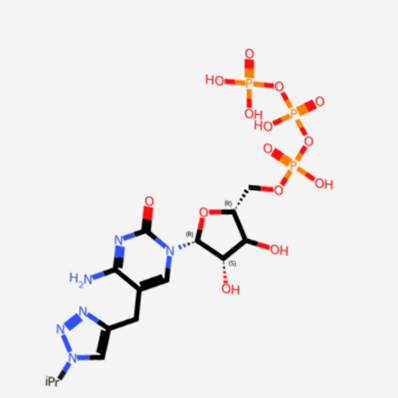 CC(C)n1cc(Cc2cn([C@@H]3O[C@H](COP(=O)(O)OP(=O)(O)OP(=O)(O)O)C(O)[C@@H]3O)c(=O)nc2N)nn1